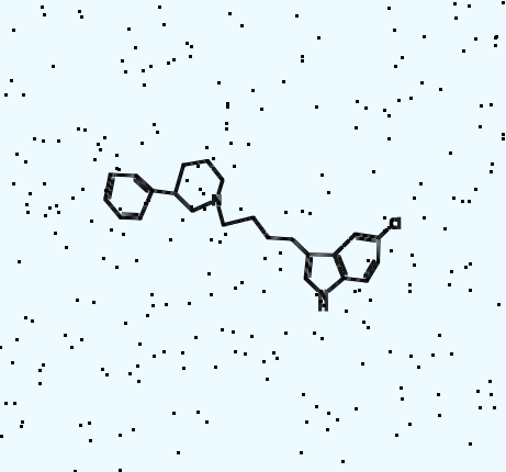 Clc1ccc2[nH]cc(CCCCN3CCCC(c4ccccc4)C3)c2c1